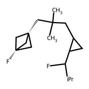 CC(C)C(F)C1CC1CC(C)(C)C[C@]12C[C@](F)(C1)C2